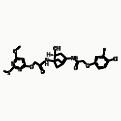 COc1cc(OCC(=O)NC23CC(=C(NC(=O)COc4ccc(Cl)c(F)c4)C[C@@H]2O)C3)nc(SC)n1